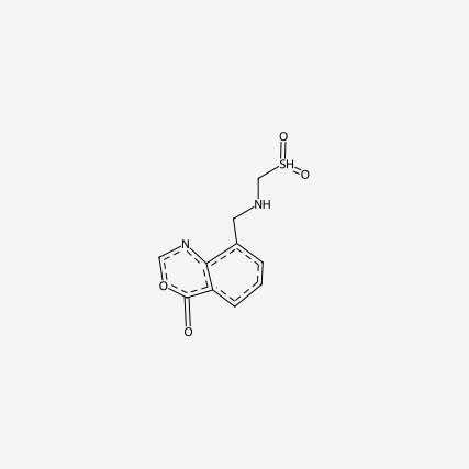 O=c1ocnc2c(CNC[SH](=O)=O)cccc12